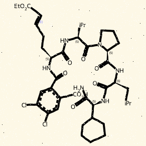 CCOC(=O)/C=C/CC[C@H](NC(=O)c1cc(Cl)c(Cl)cc1C(=O)O)C(=O)N[C@H](C(=O)N1CCC[C@H]1C(=O)N[C@@H](CC(C)C)C(=O)N[C@H](C(N)=O)C1CCCCC1)C(C)C